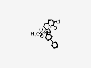 CS(=O)(=O)NC1CCc2ccc(Cl)c(=O)n2C1Cc1cccc(-c2ccccc2)c1